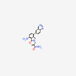 C=C(CN1Cc2c(-c3ccc4ncncc4c3)ccc(N)c2C1=O)C(N)=O